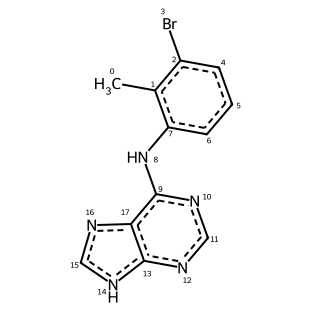 Cc1c(Br)cccc1Nc1ncnc2[nH]cnc12